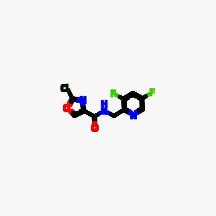 O=C(NCc1ncc(F)cc1F)c1coc(Cl)n1